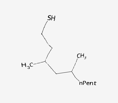 CCCCCC(C)CC(C)CCS